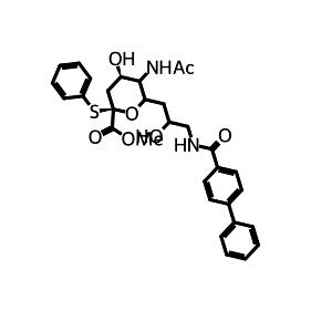 COC(=O)[C@]1(Sc2ccccc2)C[C@@H](O)C(NC(C)=O)C(CC(O)CNC(=O)c2ccc(-c3ccccc3)cc2)O1